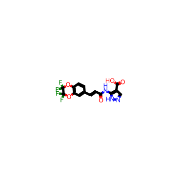 O=C(/C=C/c1ccc2c(c1)OC(F)(F)C(F)(F)O2)Nc1[nH]ncc1C(=O)O